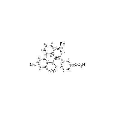 CCCC(c1ccc(C(=O)O)cc1)C(c1ccc(Cl)cc1)c1ccc(F)c2ccccc12